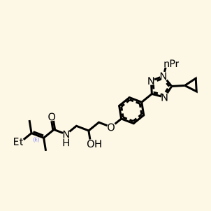 CCCn1nc(-c2ccc(OCC(O)CNC(=O)/C(C)=C(\C)CC)cc2)nc1C1CC1